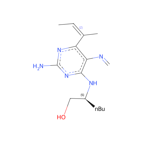 C=Nc1c(N[C@H](CO)CCCC)nc(N)nc1/C(C)=C\C